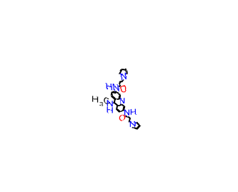 CNc1c2ccc(NC(=O)CCN3CCCC3)cc2nc2cc(NC(=O)CCN3CCCC3)ccc12